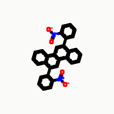 O=[N+]([O-])c1ccccc1-c1cc2c3ccccc3c(-c3ccccc3[N+](=O)[O-])cc2c2ccccc12